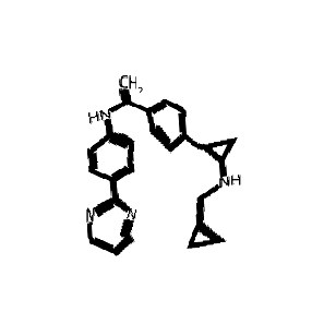 C=C(Nc1ccc(-c2ncccn2)cc1)c1ccc(C2CC2NCC2CC2)cc1